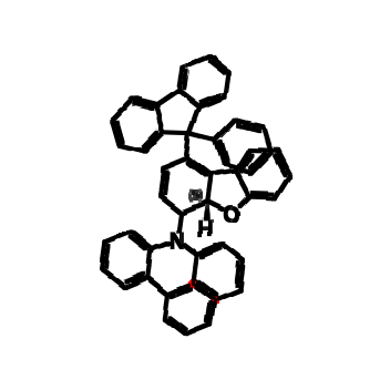 C1=CC(N(c2ccccc2)c2ccccc2-c2ccccc2)[C@H]2Oc3ccccc3C2=C1C1(c2ccccc2)c2ccccc2-c2ccccc21